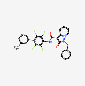 O=C(Nc1c(F)c(F)c(-c2cccc(C(F)(F)F)c2)c(F)c1F)c1c(=O)n(Cc2ccccc2)n2ccccc12